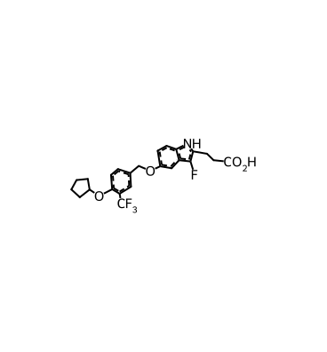 O=C(O)CCc1[nH]c2ccc(OCc3ccc(OC4CCCC4)c(C(F)(F)F)c3)cc2c1F